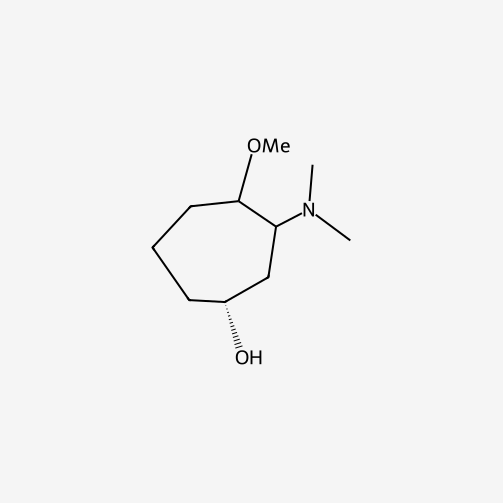 COC1CCC[C@@H](O)CC1N(C)C